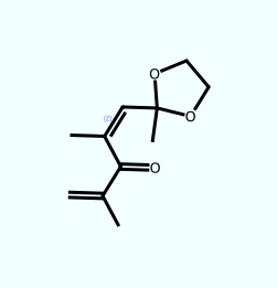 C=C(C)C(=O)/C(C)=C\C1(C)OCCO1